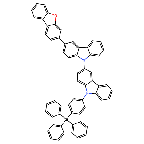 c1ccc([Si](c2ccccc2)(c2ccccc2)c2ccc(-n3c4ccccc4c4cc(-n5c6ccccc6c6cc(-c7ccc8c(c7)oc7ccccc78)ccc65)ccc43)cc2)cc1